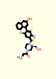 C=CC(=O)N1CCN(c2snc3c(F)c(-c4cc(O)cc5ccccc45)c(Cl)cc23)[C@@H](CO)C1